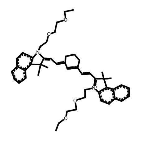 CCOCCOCCN1/C(=C/C=C2C=C(/C=C/C3=[N+](CCOCCOCC)c4ccc5ccccc5c4C3(C)C)CCC/2)C(C)(C)c2c1ccc1ccccc21